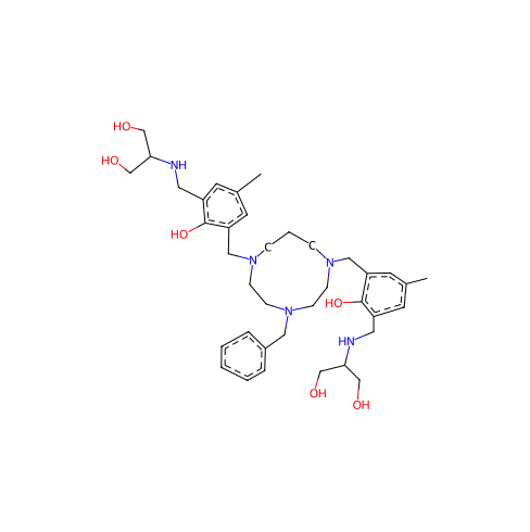 Cc1cc(CNC(CO)CO)c(O)c(CN2CCCN(Cc3cc(C)cc(CNC(CO)CO)c3O)CCN(Cc3ccccc3)CC2)c1